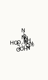 N#Cc1ccc(NCC2(NC(=O)CN3CCCC3C#N)CCCCC2)nc1.O=C(O)C=CC(=O)O